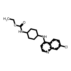 CCOC(=O)NC1CCC(Nc2ccnc3cc(Cl)ccc23)CC1